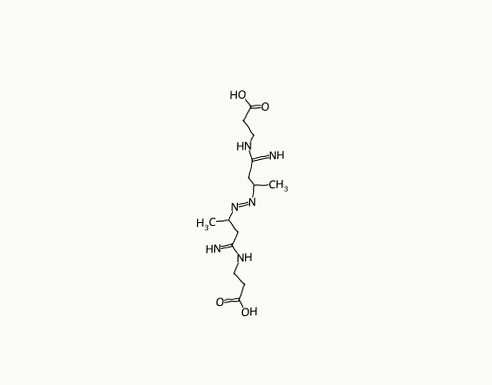 CC(CC(=N)NCCC(=O)O)/N=N/C(C)CC(=N)NCCC(=O)O